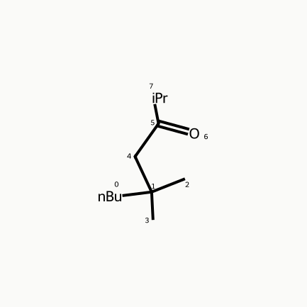 CCCCC(C)(C)CC(=O)C(C)C